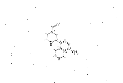 Cc1ccc(C2CN(C=O)CCO2)c2ccccc12